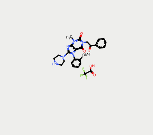 COc1ccccc1-n1c(N2CCNCC2)nc2c1c(=O)n(CC(=O)c1ccccc1)c(=O)n2C.O=C(O)C(F)(F)F